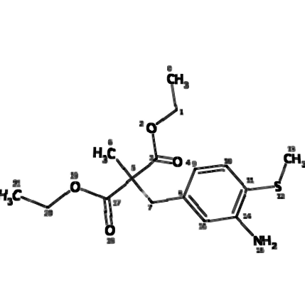 CCOC(=O)C(C)(Cc1ccc(SC)c(N)c1)C(=O)OCC